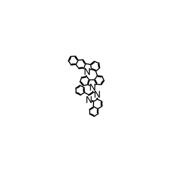 c1ccc(-c2nc3c(ccc4ccccc43)nc2-n2c3cccc4c5cccc6c7cc8ccccc8cc7n(c7cccc2c7c43)c56)cc1